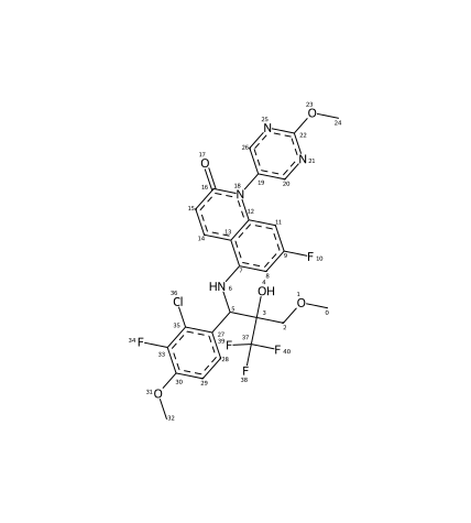 COCC(O)(C(Nc1cc(F)cc2c1ccc(=O)n2-c1cnc(OC)nc1)c1ccc(OC)c(F)c1Cl)C(F)(F)F